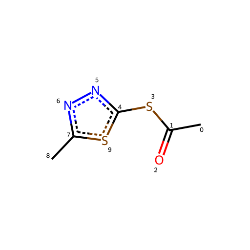 CC(=O)Sc1nnc(C)s1